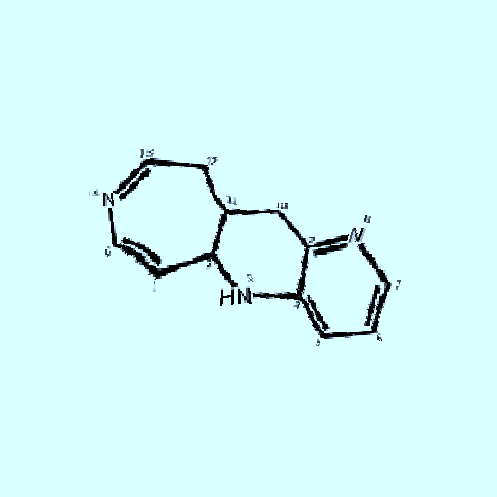 C1=CC2Nc3cccnc3CC2CC=N1